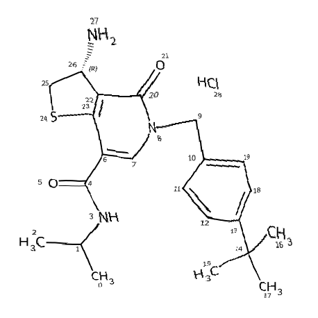 CC(C)NC(=O)c1cn(Cc2ccc(C(C)(C)C)cc2)c(=O)c2c1SC[C@@H]2N.Cl